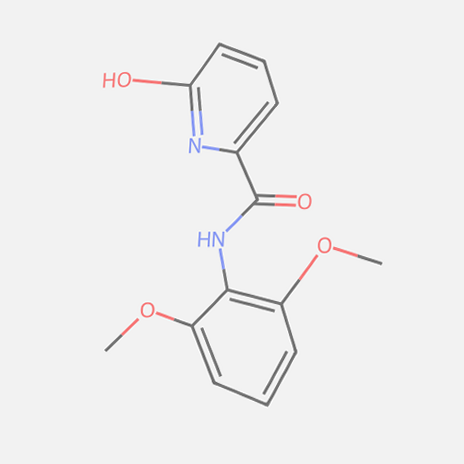 COc1cccc(OC)c1NC(=O)c1cccc(O)n1